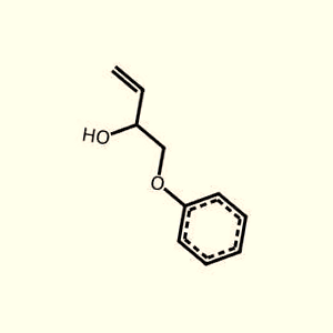 C=CC(O)COc1ccccc1